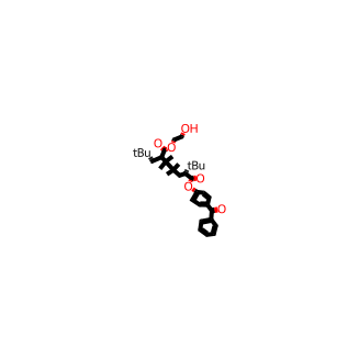 CC(C)(C)CC(C(=O)OCCO)C(C)(C)C(C)(C)CC(C(=O)Oc1ccc(C(=O)c2ccccc2)cc1)C(C)(C)C